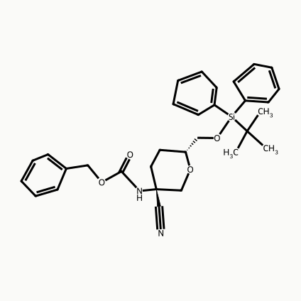 CC(C)(C)[Si](OC[C@H]1CC[C@@](C#N)(NC(=O)OCc2ccccc2)CO1)(c1ccccc1)c1ccccc1